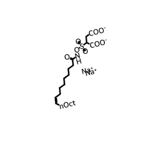 CCCCCCCC/C=C\CCCCCCCC(=O)NOS(=O)(=O)C(CC(=O)[O-])C(=O)[O-].[Na+].[Na+]